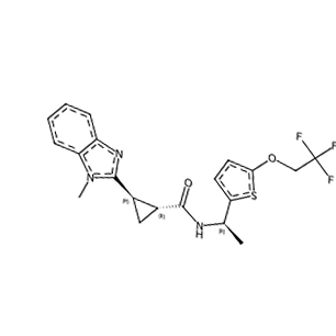 C[C@@H](NC(=O)[C@@H]1C[C@H]1c1nc2ccccc2n1C)c1ccc(OCC(F)(F)F)s1